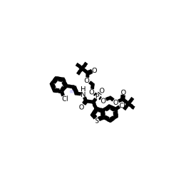 CC(C)(C)C(=O)OCOP(=O)(OCOC(=O)C(C)(C)C)C(C(=O)N/C=C/c1ccccc1Cl)c1csc2ccc(Cl)cc12